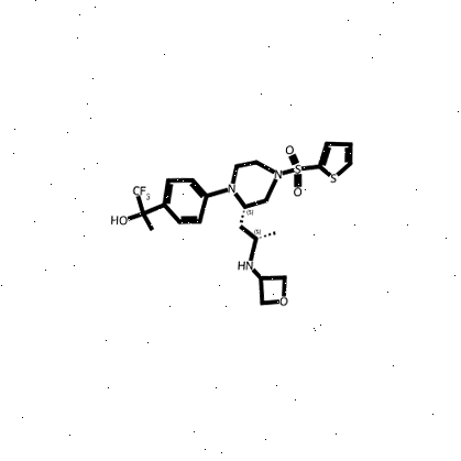 C[C@@H](C[C@H]1CN(S(=O)(=O)c2cccs2)CCN1c1ccc(C(C)(O)C(F)(F)F)cc1)NC1COC1